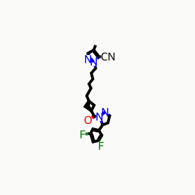 Cc1cnn(CCCCCCC23CC(C(=O)N4N=CCC4c4cc(F)cc(F)c4)(C2)C3)c1C#N